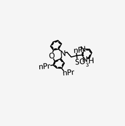 CCCc1cc(CCC)c2c(c1)N(CCC(CCC)(c1ncccn1)S(=O)(=O)O)c1ccccc1O2